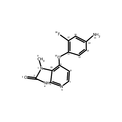 Cn1c(=O)[nH]c2nccc(Oc3ccc(N)cc3F)c21